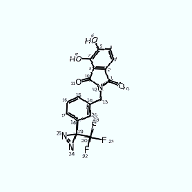 O=C1c2ccc(O)c(O)c2C(=O)N1Cc1cccc(C2(C(F)(F)F)N=N2)c1